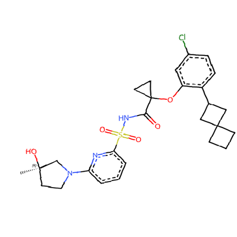 C[C@@]1(O)CCN(c2cccc(S(=O)(=O)NC(=O)C3(Oc4cc(Cl)ccc4C4CC5(CCC5)C4)CC3)n2)C1